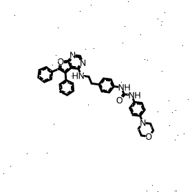 O=C(Nc1ccc(CCNc2ncnc3oc(-c4ccccc4)c(-c4ccccc4)c23)cc1)Nc1ccc(N2CCOCC2)cc1